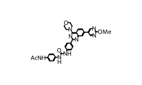 COc1ncc(-c2ccc3c(N4CCOCC4)nc(-c4ccc(NC(=O)Nc5ccc(NC(C)=O)cc5)cc4)nc3c2)cn1